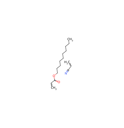 C=CC#N.C=CC(=O)OCCCCCCCCCC